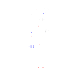 CC(C)Sc1c(OCC(C)(C)C(=O)NC(C)(C)C)noc1C(=O)N[C@H]1C2CC3CC1C[C@](O)(C3)C2